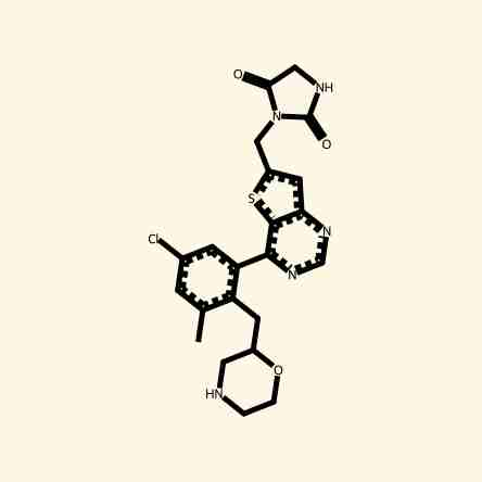 Cc1cc(Cl)cc(-c2ncnc3cc(CN4C(=O)CNC4=O)sc23)c1CC1CNCCO1